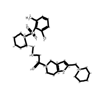 Cc1cccc(Cl)c1S(=O)(=O)N1CCCC[C@H]1COCC(=O)N1CCc2sc(CN3CCCCC3)cc2C1